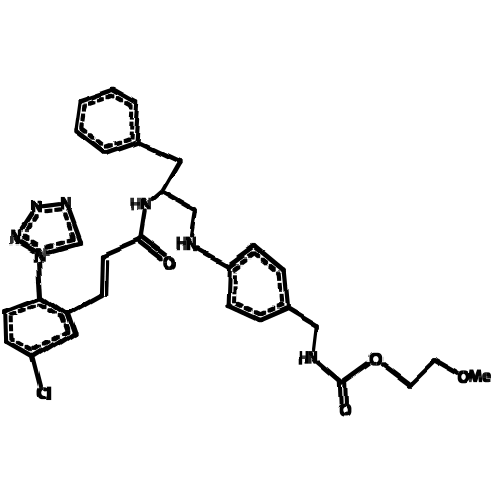 COCCOC(=O)NCc1ccc(NCC(Cc2ccccc2)NC(=O)C=Cc2cc(Cl)ccc2-n2cnnn2)cc1